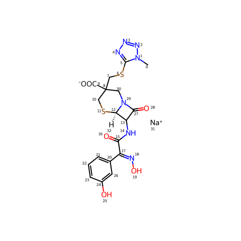 Cn1nnnc1SCC1(C(=O)[O-])CS[C@@H]2C(NC(=O)C(=NO)c3cccc(O)c3)C(=O)N2C1.[Na+]